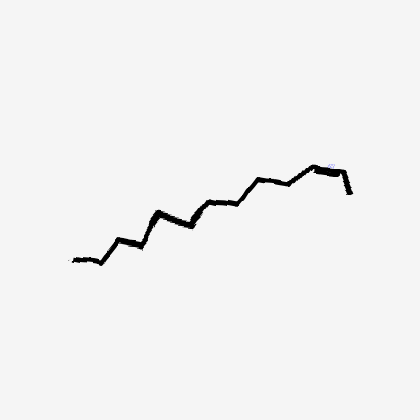 [CH2]CCCCCCCCC/C=C\C